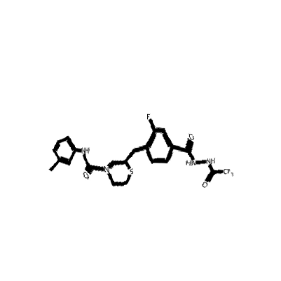 Cc1cccc(NC(=O)N2CCSC(Cc3ccc(C(=O)NNC(=O)C(F)(F)F)cc3F)C2)c1